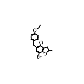 CCOc1ccc(Cc2cc(Br)c3c(c2Cl)CC(C)O3)cc1